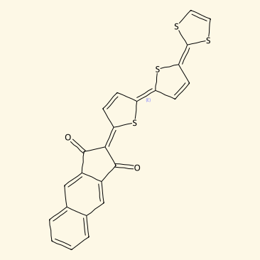 O=C1C(=c2cc/c(=c3/ccc(=C4SC=CS4)s3)s2)C(=O)c2cc3ccccc3cc21